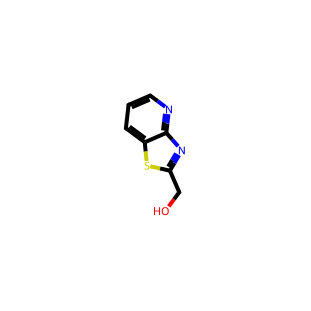 OCc1nc2ncccc2s1